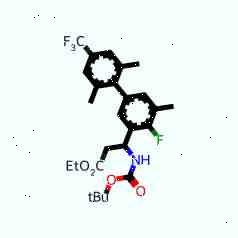 CCOC(=O)CC(NC(=O)OC(C)(C)C)c1cc(-c2c(C)cc(C(F)(F)F)cc2C)cc(C)c1F